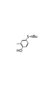 CCCCSc1ccc(O)c(C)c1